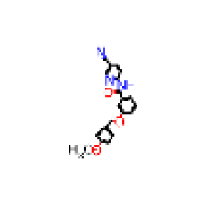 COc1ccc(COc2cccc(C(=O)Nc3ccc(C#N)cn3)c2)cc1